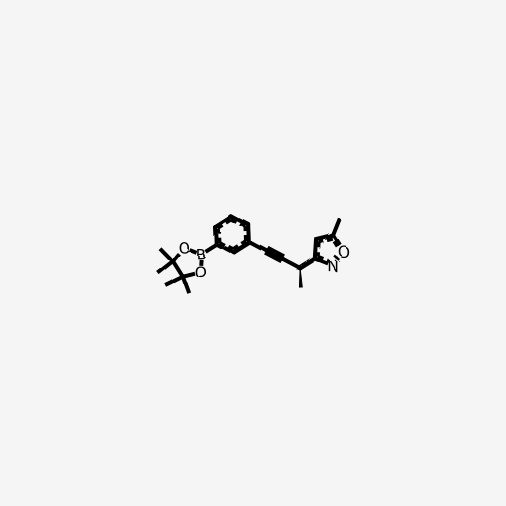 Cc1cc([C@@H](C)C#Cc2cccc(B3OC(C)(C)C(C)(C)O3)c2)no1